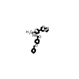 COc1ccc(-c2cnc3nccn3c2)cc1NC(=O)c1ccc(OCc2ccccc2)cc1